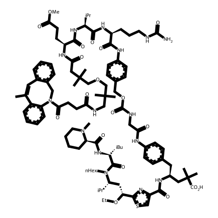 CCCCCCN(C(=O)[C@@H](NC(=O)[C@H]1CCCCN1C)[C@@H](C)CC)[C@H](C[C@@H](OCC)c1nc(C(=O)N[C@@H](Cc2ccc(NC(=O)CNC(=O)OCc3ccc(NC(=O)[C@H](CCCNC(N)=O)NC(=O)[C@@H](NC(=O)[C@H](CCC(=O)OC)NC(=O)CC(C)(C)COCC(C)(C)CNC(=O)CCC(=O)N4Cc5ccccc5/C=C(/C)c5ccccc54)C(C)C)cc3)cc2)CC(C)(C)C(=O)O)cs1)C(C)C